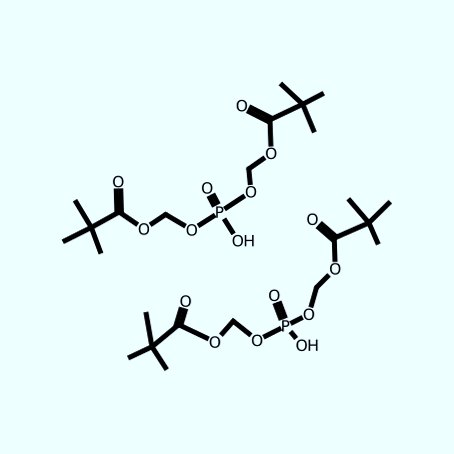 CC(C)(C)C(=O)OCOP(=O)(O)OCOC(=O)C(C)(C)C.CC(C)(C)C(=O)OCOP(=O)(O)OCOC(=O)C(C)(C)C